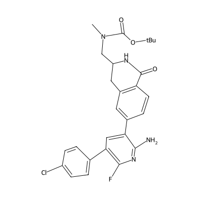 CN(CC1Cc2cc(-c3cc(-c4ccc(Cl)cc4)c(F)nc3N)ccc2C(=O)N1)C(=O)OC(C)(C)C